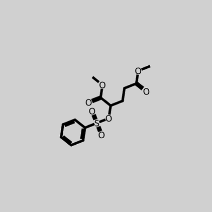 COC(=O)CCC(OS(=O)(=O)c1ccccc1)C(=O)OC